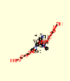 Cc1cc(N(Cc2ccccc2)CC(O)COCCOCCOCCOCCOCCO)ccc1C(C#N)(c1ccc(N(C)C)cc1)c1ccc(N(Cc2ccccc2)CC(COCCOCCOCCOCCOCCO)N=O)cc1C